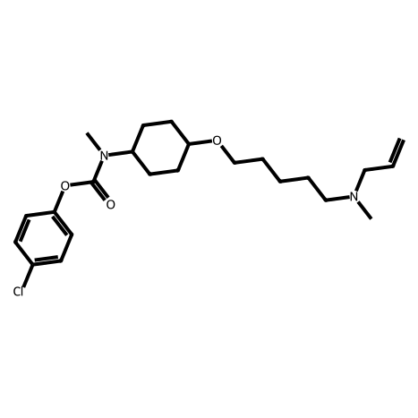 C=CCN(C)CCCCCOC1CCC(N(C)C(=O)Oc2ccc(Cl)cc2)CC1